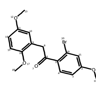 COc1ccc(C(=O)Cc2cc(OC)ccc2OC)c(Br)c1